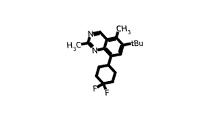 Cc1ncc2c(C)c(C(C)(C)C)cc(C3CCC(F)(F)CC3)c2n1